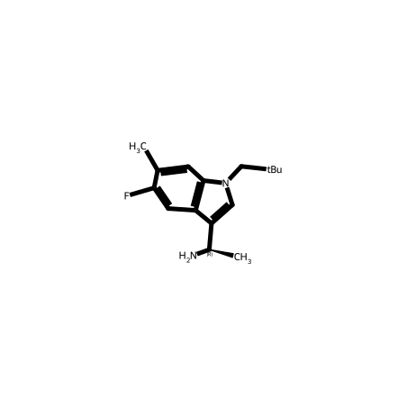 Cc1cc2c(cc1F)c([C@@H](C)N)cn2CC(C)(C)C